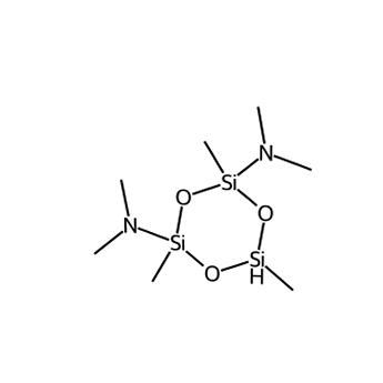 CN(C)[Si]1(C)O[SiH](C)O[Si](C)(N(C)C)O1